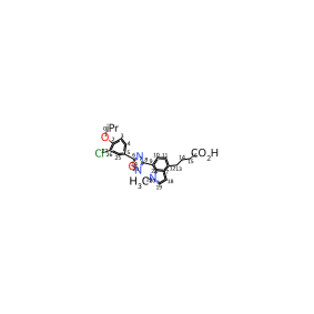 CC(C)Oc1ccc(-c2nc(-c3ccc(CCCC(=O)O)c4ccn(C)c34)no2)cc1Cl